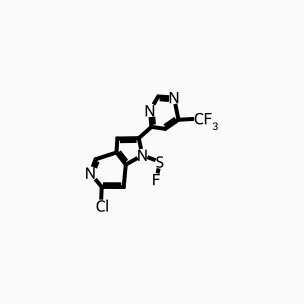 FSn1c(-c2cc(C(F)(F)F)ncn2)cc2cnc(Cl)cc21